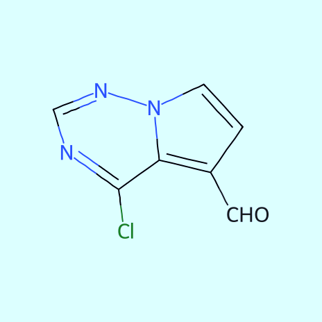 O=Cc1ccn2ncnc(Cl)c12